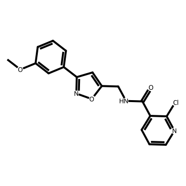 COc1cccc(-c2cc(CNC(=O)c3cccnc3Cl)on2)c1